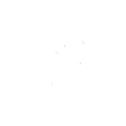 CC(C)(C(N)=O)c1nc2cccc(Cl)c2s1